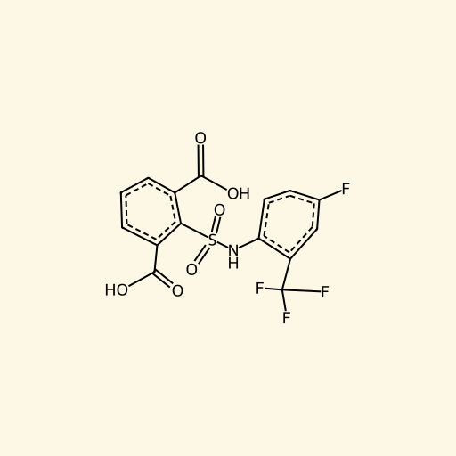 O=C(O)c1cccc(C(=O)O)c1S(=O)(=O)Nc1ccc(F)cc1C(F)(F)F